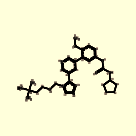 COc1ccc(OC(=O)NC2CCCC2)cc1-c1cncc(-c2nncn2COCC[Si](C)(C)C)c1